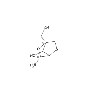 B[C@@H]1O[C@@]2(CO)CSC1C2O